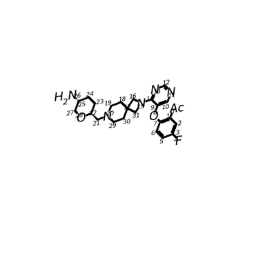 CC(=O)c1cc(F)ccc1Oc1cncnc1N1CC2(CCN(C[C@@H]3CC[C@@H](N)CO3)CC2)C1